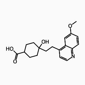 COc1ccc2nccc(CCC3(O)CCC(C(=O)O)CC3)c2c1